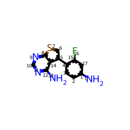 Nc1ccc(-c2csc3ncnc(N)c23)c(F)c1